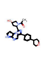 CC(=O)N1C[C@H](O)CC1c1nc(-c2ccc(C3CCOCC3)cc2)c2cnc3[nH]ccc3n12